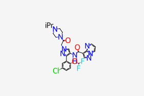 CC(C)N1CCN(C(=O)Cn2cc(NC(=O)c3cnn4cccnc34)c(-c3cc(Cl)ccc3OC(F)F)n2)CC1